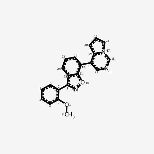 COc1ccccc1-c1noc2c(-c3cncn4cccc34)cccc12